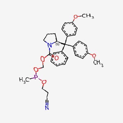 COc1ccc(C(c2ccccc2)(c2ccc(OC)cc2)[C@@H]2CCCN2C(=O)OCOP(C)OCCC#N)cc1